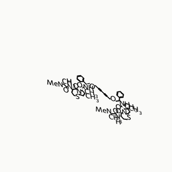 CN[C@@H](C)C(=O)N[C@H]1CCSC2CC(C)(C)[C@@H](C(=O)NC(COCC#CC#CCOC[C@@H](NC(=O)[C@H]3N4C(=O)[C@@H](NC(=O)[C@H](C)NC)CCSC4CC3(C)C)c3ccccc3)c3ccccc3)N2C1=O